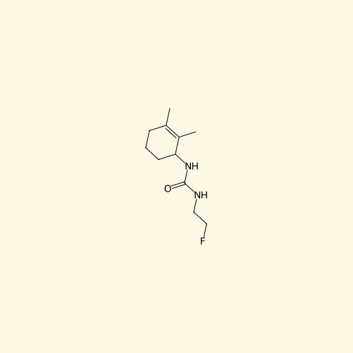 CC1=C(C)C(NC(=O)NCCF)CCC1